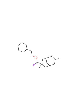 CC1CC2CC(C1)CC(C)(C(I)OCCC1CCCCC1)C2